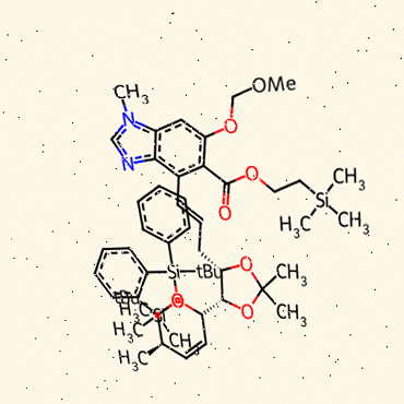 COCOc1cc2c(ncn2C)c(/C=C/C[C@@H]2OC(C)(C)O[C@@H]2C(/C=C\[C@@H](C)C(C)O[Si](c2ccccc2)(c2ccccc2)C(C)(C)C)O[Si](C)(C)C(C)(C)C)c1C(=O)OCC[Si](C)(C)C